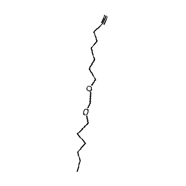 C#CCCCCCCOCOCCCCCC